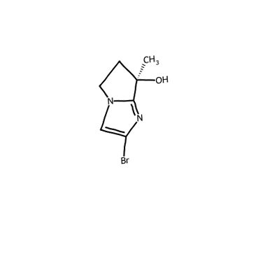 C[C@@]1(O)CCn2cc(Br)nc21